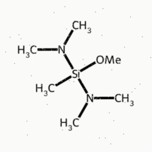 CO[Si](C)(N(C)C)N(C)C